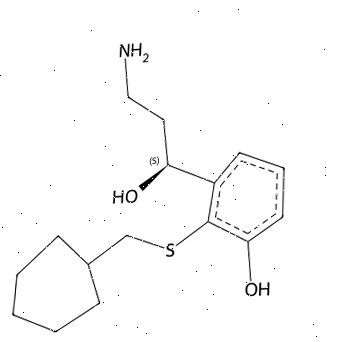 NCC[C@H](O)c1cccc(O)c1SCC1CCCCC1